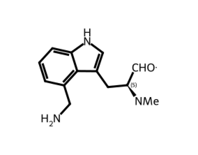 CN[C@H]([C]=O)Cc1c[nH]c2cccc(CN)c12